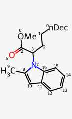 CCCCCCCCCCCCC(C(=O)OC)n1c(C)cc2ccccc21